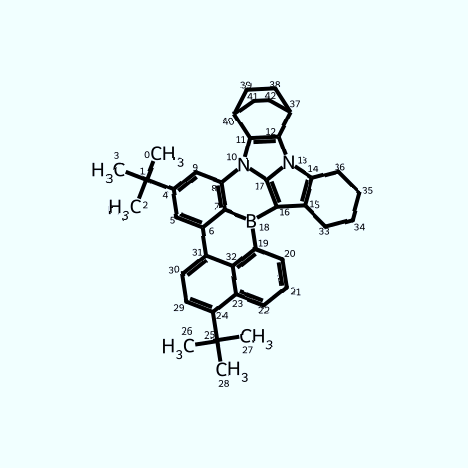 CC(C)(C)c1cc2c3c(c1)-n1c4c(n5c6c(c(c15)B3c1cccc3c(C(C)(C)C)ccc-2c13)CCCC6)C1CCC4CC1